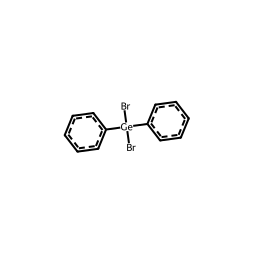 [Br][Ge]([Br])([c]1ccccc1)[c]1ccccc1